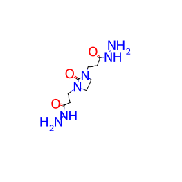 NNC(=O)CCN1CCN(CCC(=O)NN)C1=O